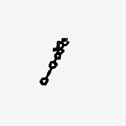 CCC(C(=O)O)N1Cc2sc(-c3ccc(C#Cc4ccccc4)cc3)cc2S1(=O)=O